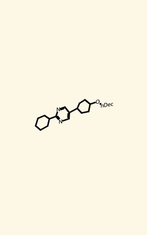 CCCCCCCCCCOC1CCC(c2cnc(C3CCCCC3)nc2)CC1